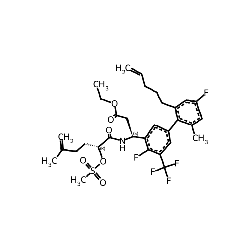 C=CCCCc1cc(F)cc(C)c1-c1cc([C@H](CC(=O)OCC)NC(=O)[C@@H](CCC(=C)C)OS(C)(=O)=O)c(F)c(C(F)(F)F)c1